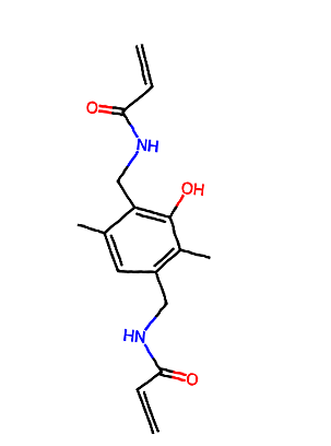 C=CC(=O)NCc1cc(C)c(CNC(=O)C=C)c(O)c1C